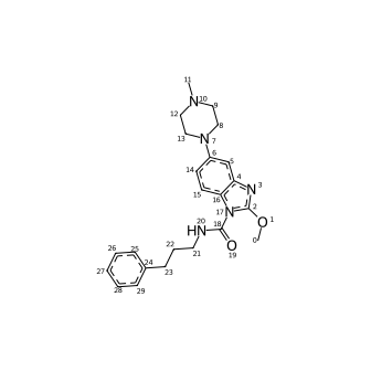 COc1nc2cc(N3CCN(C)CC3)ccc2n1C(=O)NCCCc1ccccc1